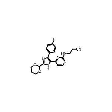 N#CCCNc1nccc(-c2[nH]c(C3OCCCO3)nc2-c2ccc(F)cc2)n1